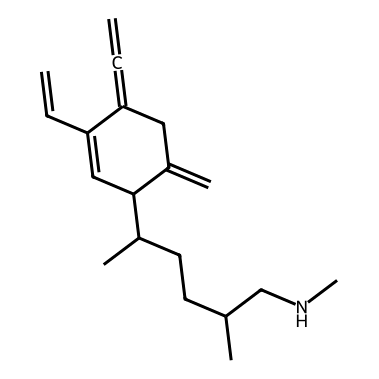 C=C=C1CC(=C)C(C(C)CCC(C)CNC)C=C1C=C